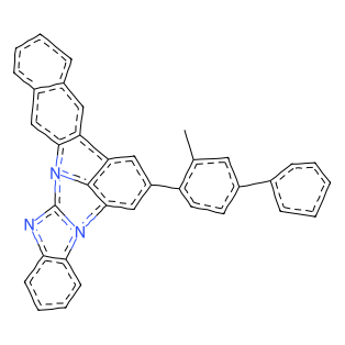 Cc1cc(-c2ccccc2)ccc1-c1cc2c3cc4ccccc4cc3n3c2c(c1)n1c2ccccc2nc13